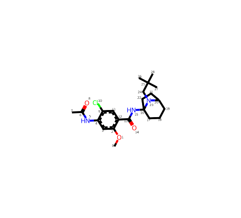 COc1cc(NC(C)=O)c(Cl)cc1C(=O)NC12CCCC(CC1)N2CC(C)(C)C